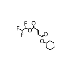 O=C(C=CC(=O)OC(F)C(F)F)OC1CCCCC1